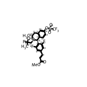 COC(=O)/C=C/c1cc(F)c([C@@H]2c3ccc(OS(=O)(=O)C(F)(F)F)cc3C[C@@H](C)N2CC(C)(C)F)c(F)c1